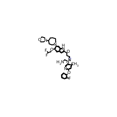 Cc1cc(Oc2ccccc2F)ncc1N(CN)/N=C\CC(=O)c1cc2cc(OCC(F)F)c(N3CCCCC(N4CCOCC4)CC3)cc2[nH]1